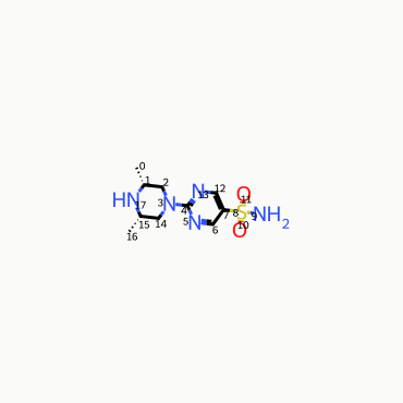 C[C@@H]1CN(c2ncc(S(N)(=O)=O)cn2)C[C@H](C)N1